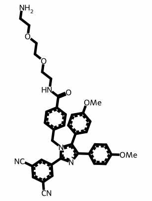 COc1ccc(-c2nc(-c3cc(C#N)cc(C#N)c3)n(Cc3ccc(C(=O)NCCOCCOCCN)cc3)c2-c2ccc(OC)cc2)cc1